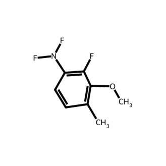 COc1c(C)ccc(N(F)F)c1F